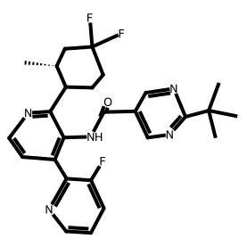 C[C@@H]1CC(F)(F)CCC1c1nccc(-c2ncccc2F)c1NC(=O)c1cnc(C(C)(C)C)nc1